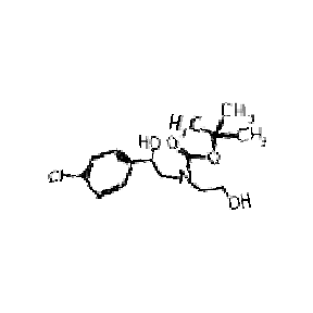 CC(C)(C)OC(=O)N(CCO)C[C@H](O)c1ccc(Cl)cc1